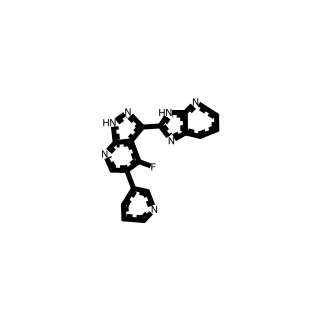 Fc1c(-c2cccnc2)cnc2[nH]nc(-c3nc4cccnc4[nH]3)c12